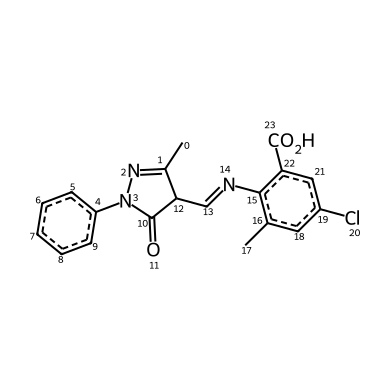 CC1=NN(c2ccccc2)C(=O)C1/C=N/c1c(C)cc(Cl)cc1C(=O)O